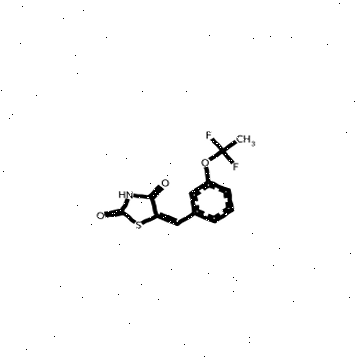 CC(F)(F)Oc1cccc(C=C2SC(=O)NC2=O)c1